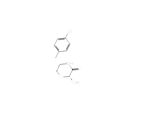 C[C@H]1OC[C@H](Cc2ccc(Cl)cc2)NC1=O